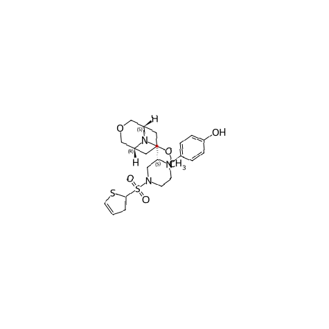 COC1C[C@H]2COC[C@@H](C1)N2C[C@H]1CN(S(=O)(=O)C2CC=CS2)CCN1c1ccc(O)cc1